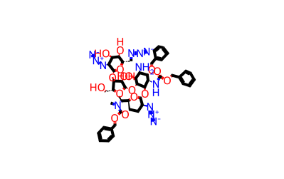 C[C@@H]([C@@H]1CC[C@H](N=[N+]=[N-])[C@@H](O[C@@H]2[C@@H](NC(=O)OCc3ccccc3)[C@H](OCc3ccccc3)[C@@H](N)[C@H](O)[C@H]2O[C@@H]2O[C@H](CO)[C@@H](O[C@H]3O[C@@H](CN=[N+]=[N-])[C@@H](O)[C@H](O)[C@H]3N=[N+]=[N-])[C@H]2O)O1)N(C)C(=O)OCc1ccccc1